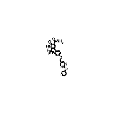 NC(=O)c1cc(-c2ccc(OCc3cnc(OC4CCOC4)nc3)cc2)c(C(F)(F)F)[nH]c1=O